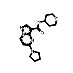 O=C(NC1CCOCC1)c1cnn2ccc(N3CCCC3)nc12